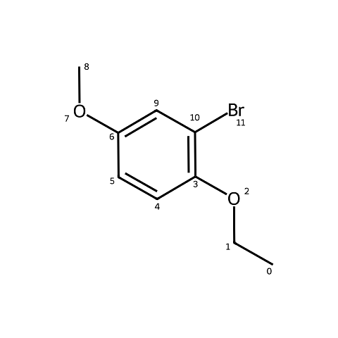 CCOc1ccc(OC)cc1Br